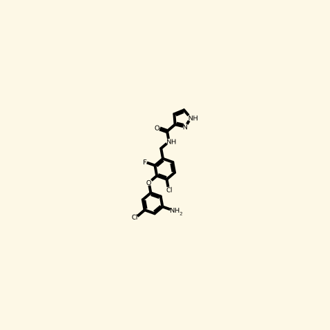 Nc1cc(Cl)cc(Oc2c(Cl)ccc(CNC(=O)c3cc[nH]n3)c2F)c1